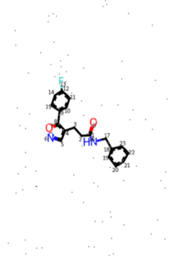 O=C(CCc1cnoc1-c1ccc(F)cc1)NCc1ccccc1